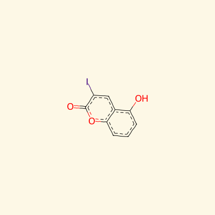 O=c1oc2cccc(O)c2cc1I